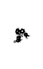 CC1=CC[C]([Ti+2][CH]2C(n3c4c(c5ccccc53)CCCC4)=Cc3ccccc32)=C1C.[Cl-].[Cl-]